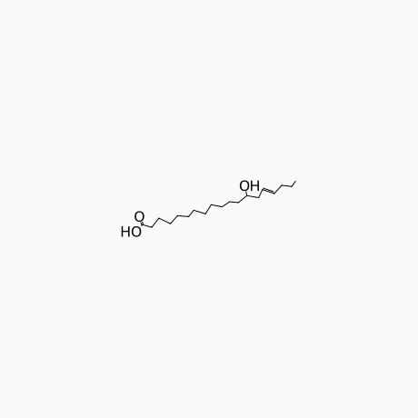 CCCC=CCC(O)CCCCCCCCCCCC(=O)O